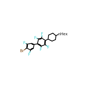 CCCCCCC1CCC(c2c(F)c(F)c(-c3cc(F)c(Br)c(F)c3)c(F)c2F)CC1